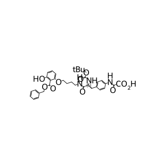 CC(C)(C)OC(=O)N[C@@H](Cc1ccc(NC(=O)C(=O)O)cc1)C(=O)NCCCCOc1cccc(O)c1C(=O)OCc1ccccc1